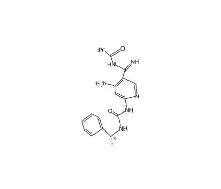 CC(C)C(=O)NC(=N)c1cnc(NC(=O)N[C@H](C)c2ccccc2)cc1N